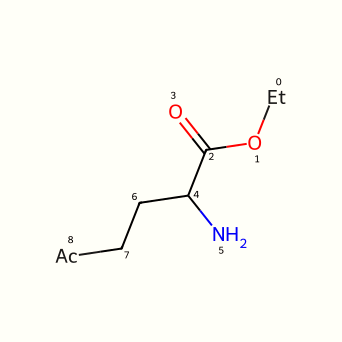 CCOC(=O)C(N)CCC(C)=O